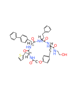 O=C1COc2ccc(cc2)C[C@@H](C(=O)NCCO)NC(=O)[C@@H](CCc2ccccc2)NC(=O)[C@H](Cc2ccc(-c3ccccc3)cc2)NC(=O)[C@@H](Cc2cccs2)N1